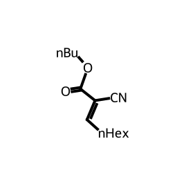 CCCCCC/C=C(\C#N)C(=O)OCCCC